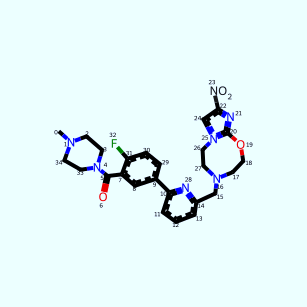 CN1CCN(C(=O)c2cc(-c3cccc(CN4CCOc5nc([N+](=O)[O-])cn5CC4)n3)ccc2F)CC1